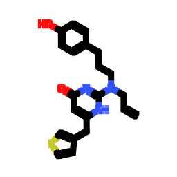 C=CCN(CCCc1ccc(O)cc1)c1nc(=O)cc(Cc2ccsc2)[nH]1